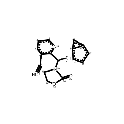 C#Cc1cccnc1C(C)N1CCOC1=O.c1cc2cc-2c1